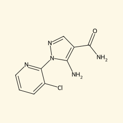 NC(=O)c1cnn(-c2ncccc2Cl)c1N